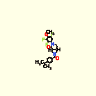 COc1c(F)cc(N2CC[C@H]3CN(C(=O)c4ccc(C(C)C)cc4)C[C@H]3C2=O)c(F)c1F